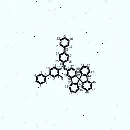 Cc1cc(-c2ccccc2)ccc1N(c1ccc(-c2ccccc2)cc1)c1ccc2c(c1)-c1ccccc1C21c2ccccc2-c2ccccc21